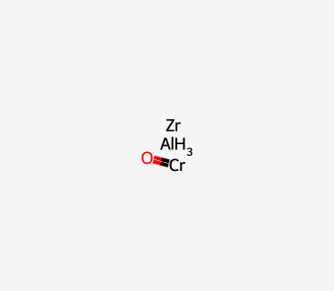 [AlH3].[O]=[Cr].[Zr]